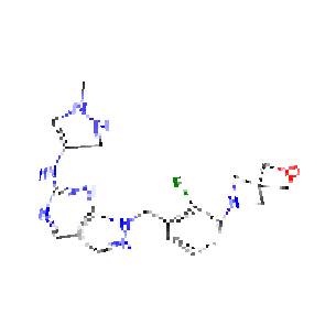 Cn1cc(Nc2ncc3cnn(Cc4cccc(N5CC6(COC6)C5)c4F)c3n2)cn1